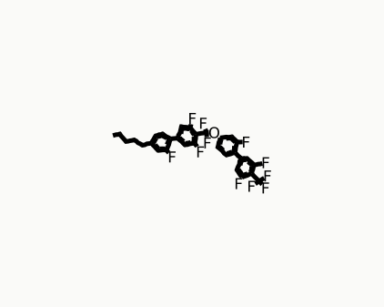 CCCCCc1ccc(-c2cc(F)c(C(F)(F)Oc3ccc(-c4cc(F)c(C(F)(F)F)c(F)c4)c(F)c3)c(F)c2)c(F)c1